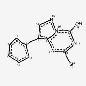 Oc1nc(S)nc2c(-c3ccccc3)cnn12